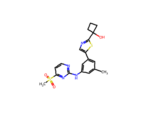 Cc1cc(Nc2nccc(S(C)(=O)=O)n2)cc(-c2cnc(C3(O)CCC3)s2)c1